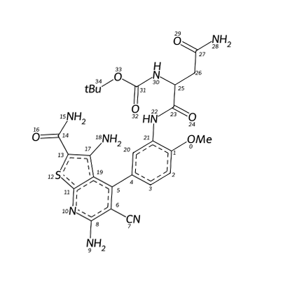 COc1ccc(-c2c(C#N)c(N)nc3sc(C(N)=O)c(N)c23)cc1NC(=O)C(CC(N)=O)NC(=O)OC(C)(C)C